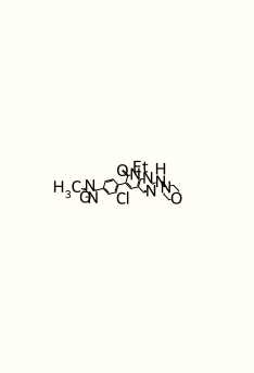 CCn1c(=O)c(-c2ccc(-c3noc(C)n3)cc2Cl)cc2cnc(NN3CCOCC3)nc21